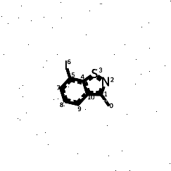 Cc1nsc2c(I)cccc12